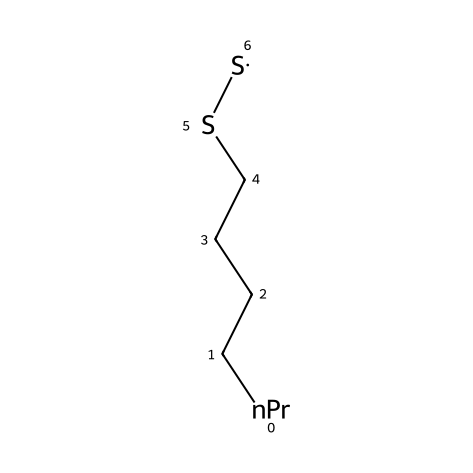 CCCCCCCS[S]